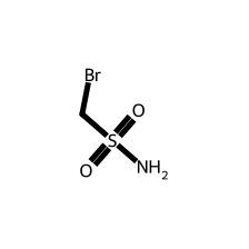 NS(=O)(=O)CBr